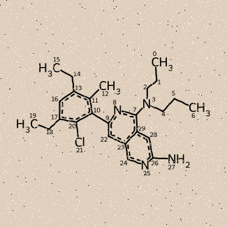 CCCN(CCC)c1nc(-c2c(C)c(CC)cc(CC)c2Cl)cc2cnc(N)cc12